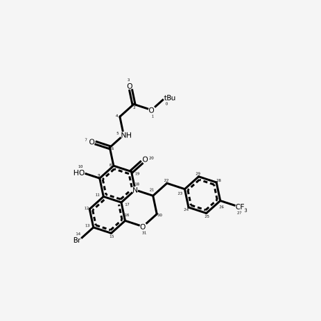 CC(C)(C)OC(=O)CNC(=O)c1c(O)c2cc(Br)cc3c2n(c1=O)C(Cc1ccc(C(F)(F)F)cc1)CO3